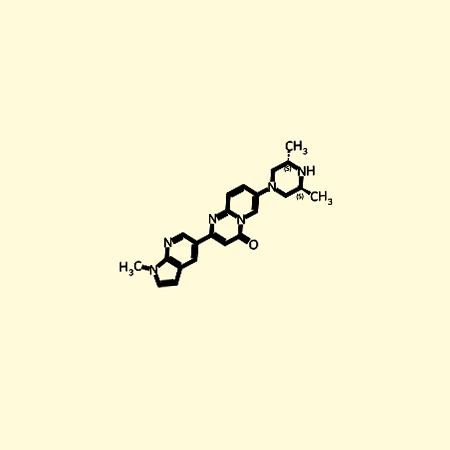 C[C@H]1CN(c2ccc3nc(-c4cnc5c(ccn5C)c4)cc(=O)n3c2)C[C@H](C)N1